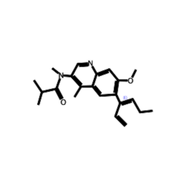 C=C/C(=C\CC)c1cc2c(C)c(N(C)C(=O)C(C)C)cnc2cc1OC